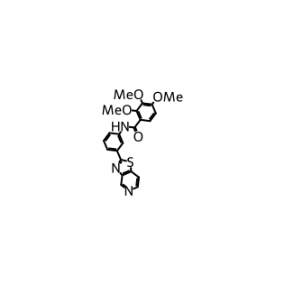 COc1ccc(C(=O)Nc2cccc(-c3nc4cnccc4s3)c2)c(OC)c1OC